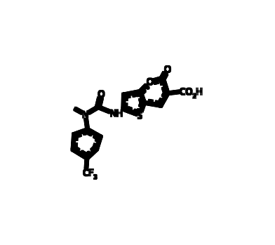 CN(C(=O)Nc1cc2oc(=O)c(C(=O)O)cc2s1)c1ccc(C(F)(F)F)cc1